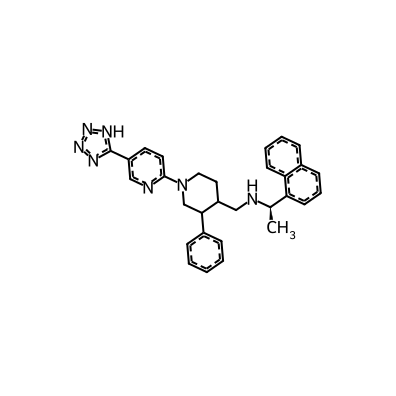 C[C@@H](NCC1CCN(c2ccc(-c3nnn[nH]3)cn2)CC1c1ccccc1)c1cccc2ccccc12